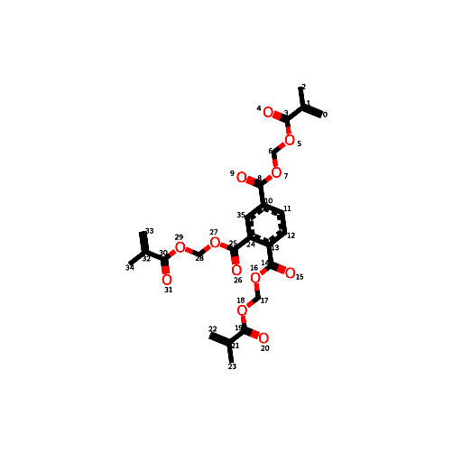 C=C(C)C(=O)OCOC(=O)c1ccc(C(=O)OCOC(=O)C(=C)C)c(C(=O)OCOC(=O)C(=C)C)c1